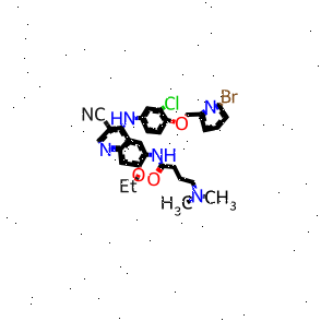 CCOc1cc2ncc(C#N)c(Nc3ccc(OCc4cccc(Br)n4)c(Cl)c3)c2cc1NC(=O)CCCN(C)C